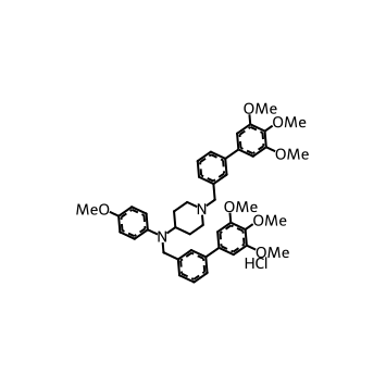 COc1ccc(N(Cc2cccc(-c3cc(OC)c(OC)c(OC)c3)c2)C2CCN(Cc3cccc(-c4cc(OC)c(OC)c(OC)c4)c3)CC2)cc1.Cl